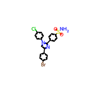 NS(=O)(=O)c1ccc(-c2nc(-c3ccc(Br)cc3)cn2-c2ccc(Cl)cc2)cc1